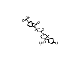 CC(C)(CC(=O)N1CC[C@](ON)(c2ccc(Cl)cc2)C(C)(C)C1)N1C(=O)c2cc(C(=O)O)ccc21